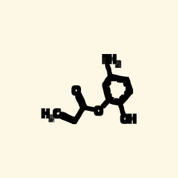 Bc1ccc(O)c(OC(=O)C=C)c1